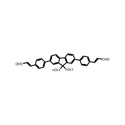 CCCCCCCCC1(CCCCCCCC)c2cc(-c3ccc(/C=C/C=O)cc3)ccc2-c2ccc(-c3ccc(/C=C/C=O)cc3)cc21